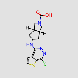 O=C(O)N1C[C@H]2CC(Nc3nnc(Cl)c4sccc34)C[C@H]2C1